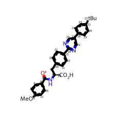 COc1ccc(C(=O)N[C@@H](Cc2ccc(-c3ncc(-c4ccc(C(C)(C)C)cc4)cn3)cc2)C(=O)O)cc1